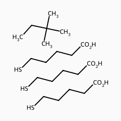 CCC(C)(C)C.O=C(O)CCCCS.O=C(O)CCCCS.O=C(O)CCCCS